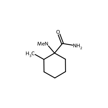 CNC1(C(N)=O)CCCCC1C